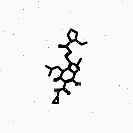 CC[C@@H]1CCCN1C(=O)/C=C/c1c(C)nn2c(O)c(C(=O)NC3CC3)c(=O)n(CC(C)C)c12